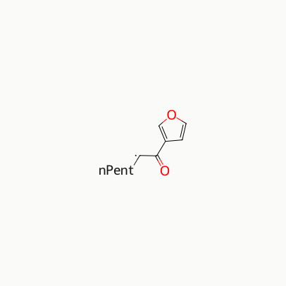 [CH2]CCCC[CH]C(=O)c1ccoc1